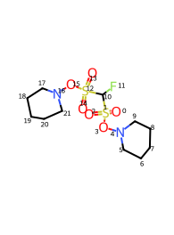 O=S(=O)(ON1CCCCC1)C(F)S(=O)(=O)ON1CCCCC1